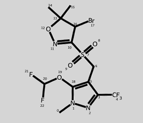 Cn1nc(C(F)(F)F)c(CS(=O)(=O)C2=NOC(C)(C)C2Br)c1OC(F)F